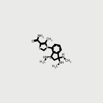 CN[C@@H]1CC(NC)(NC)c2cccc(N3CSC(C(N)=O)=C3C)c21